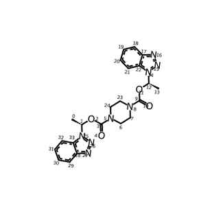 C[C@@H](OC(=O)N1CCN(C(=O)O[C@H](C)n2nnc3ccccc32)CC1)n1nnc2ccccc21